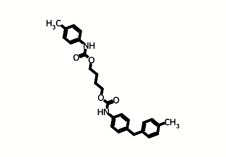 Cc1ccc(Cc2ccc(NC(=O)OCCCCOC(=O)Nc3ccc(C)cc3)cc2)cc1